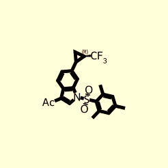 CC(=O)c1cn(S(=O)(=O)c2c(C)cc(C)cc2C)c2cc(C3C[C@H]3C(F)(F)F)ccc12